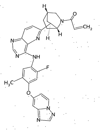 C=CC(=O)N1C[C@H]2CC[C@@H]1[C@@H](c1ccc3ncnc(Nc4cc(C)c(Oc5ccn6ncnc6c5)cc4F)c3n1)C2